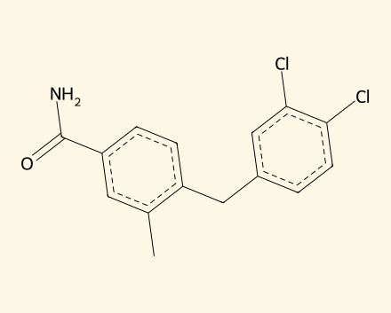 Cc1cc(C(N)=O)ccc1Cc1ccc(Cl)c(Cl)c1